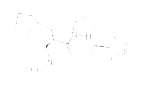 CN(C=O)C[C@@H](CC1CCCC1)C(=O)N1CCCN1C(=O)c1ccco1